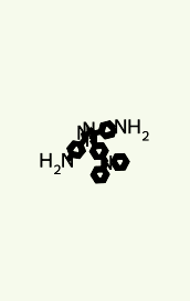 Nc1ccc(-c2nnc(-c3ccc(N)cc3)n2-c2ccc(N(c3ccccc3)c3ccccc3)cc2)cc1